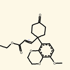 CCOC(=O)/C=C/C1(c2ccc(OC)c3c2OCCO3)CCC(=O)CC1